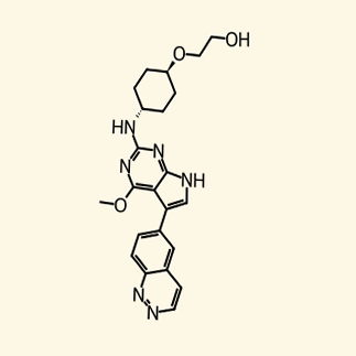 COc1nc(N[C@H]2CC[C@H](OCCO)CC2)nc2[nH]cc(-c3ccc4nnccc4c3)c12